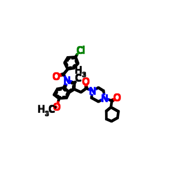 COc1ccc2c(c1)c(CC(=O)N1CCN(C(=O)C3CCCCC3)CC1)c(C)n2C(=O)c1ccc(Cl)cc1